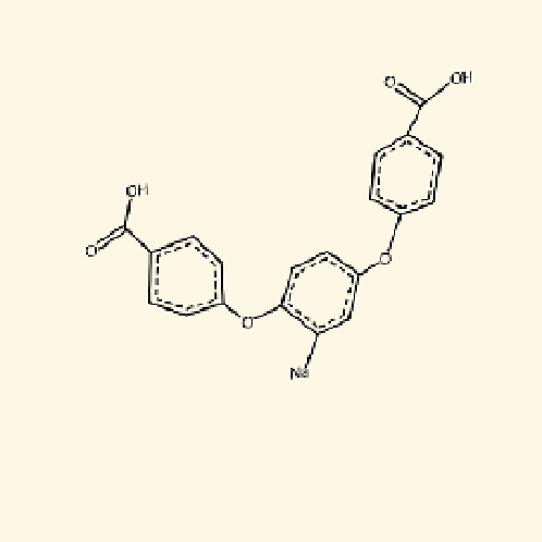 O=C(O)c1ccc(Oc2ccc(Oc3ccc(C(=O)O)cc3)[c]([Na])c2)cc1